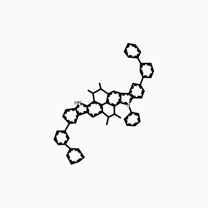 CC1c2cc3c4cc(-c5cccc(-c6ccccc6)c5)ccc4n(-c4ccccc4)c3c3c2-c2c(cc4c([nH]c5ccc(-c6cccc(-c7ccccc7)c6)cc54)c2C1C)C(C)C3C